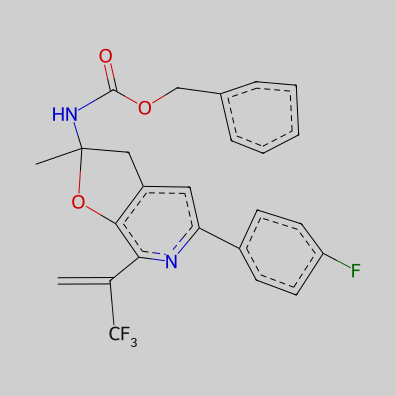 C=C(c1nc(-c2ccc(F)cc2)cc2c1OC(C)(NC(=O)OCc1ccccc1)C2)C(F)(F)F